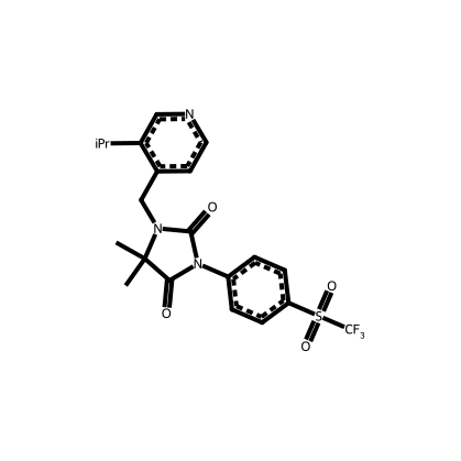 CC(C)c1cnccc1CN1C(=O)N(c2ccc(S(=O)(=O)C(F)(F)F)cc2)C(=O)C1(C)C